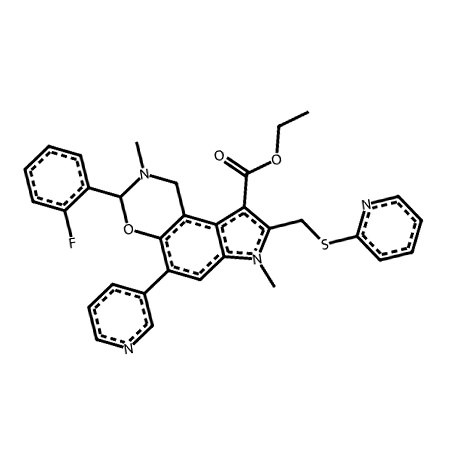 CCOC(=O)c1c(CSc2ccccn2)n(C)c2cc(-c3cccnc3)c3c(c12)CN(C)C(c1ccccc1F)O3